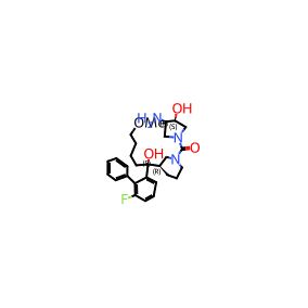 COCCCC[C@@](O)(c1cccc(F)c1-c1ccccc1)[C@@H]1CCCN(C(=O)N2C[C@@H](N)[C@@H](O)C2)C1